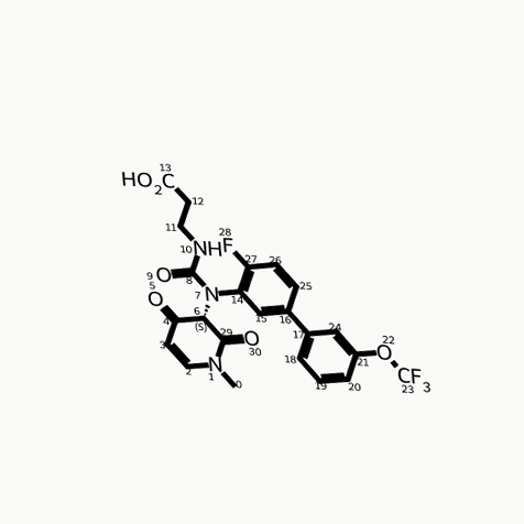 CN1C=CC(=O)[C@H](N(C(=O)NCCC(=O)O)c2cc(-c3cccc(OC(F)(F)F)c3)ccc2F)C1=O